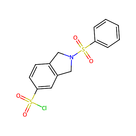 O=S(=O)(Cl)c1ccc2c(c1)CN(S(=O)(=O)c1ccccc1)C2